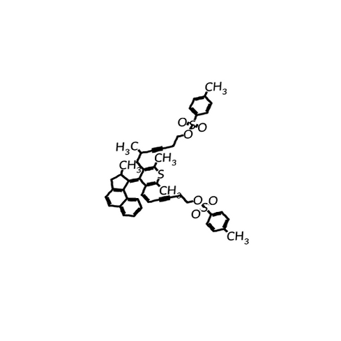 CC1=C(/C=C\C#CCCOS(=O)(=O)c2ccc(C)cc2)/C(=C2\c3c(ccc4ccccc34)CC2C)C(CC(C)C#CCCOS(=O)(=O)c2ccc(C)cc2)=C(C)S1